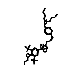 CCCCN(CCCC)Cc1ccc(/C=C\Cc2coc(-c3cc(C(C)(C)C)c(OCCC)c(C(C)(C)C)c3)n2)cc1